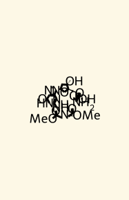 COC(=O)CNCC(=O)OC.Nc1nc2c(ncn2[C@H]2C[C@H](O)[C@@H](COP(N)(=O)O)O2)c(=O)[nH]1